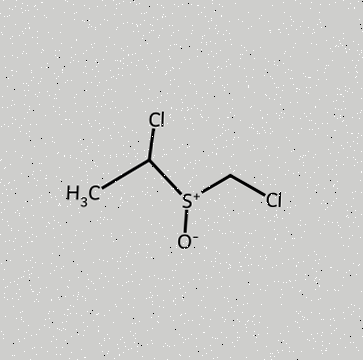 CC(Cl)[S+]([O-])CCl